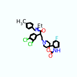 CCN(Cc1ccc(C)cc1)C(=O)C(CCN1CCC2(CC1)OC(=O)Nc1ccc(F)cc12)c1ccc(Cl)c(Cl)c1